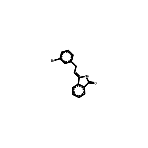 O=C1NC(=CCc2cccc(Br)c2)c2ccccc21